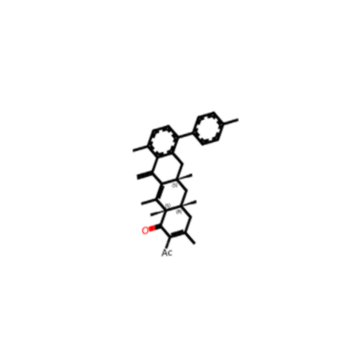 C=C1C2=C(C)[C@@]3(C)C(=O)C(C(C)=O)=C(C)C[C@@]3(C)C[C@@]2(C)Cc2c(-c3ccc(C)cc3)ccc(C)c21